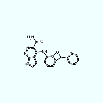 NC(=O)c1nnc2[nH]ccc2c1Nc1cccc2c1OC2c1ccccn1